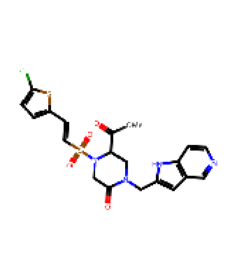 COC(=O)C1CN(Cc2cc3cnccc3[nH]2)C(=O)CN1S(=O)(=O)C=Cc1ccc(Cl)s1